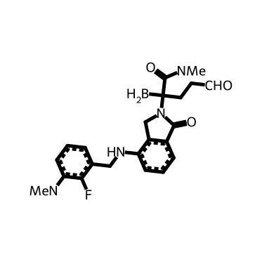 BC(CCC=O)(C(=O)NC)N1Cc2c(NCc3cccc(NC)c3F)cccc2C1=O